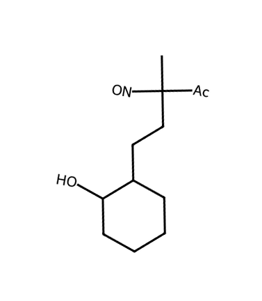 CC(=O)C(C)(CCC1CCCCC1O)N=O